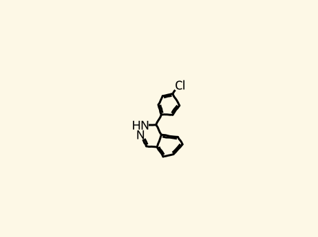 Clc1ccc(C2NN=Cc3ccccc32)cc1